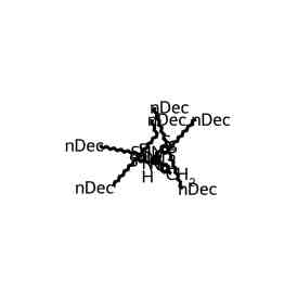 [CH2]c1ccc(-c2nc(Nc3cc(SCCCCCCCCCCCCCCCCCCC)c(SCCCCCCCCCCCCCCCCCCC)c(SCCCCCCCCCCCCCCCCCCC)c3)nc(Nc3cc(SCCCCCCCCCCCCCCCCCCC)c(SCCCCCCCCCCCCCCCCCCC)c(SCCCCCCCCCCCCCCCCCCC)c3)n2)cc1